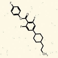 CCCC1CCC(c2cc(F)c(C(=O)Oc3ccc(F)cc3)c(F)c2)CC1